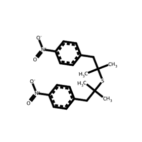 CC(C)(Cc1ccc([N+](=O)[O-])cc1)SC(C)(C)Cc1ccc([N+](=O)[O-])cc1